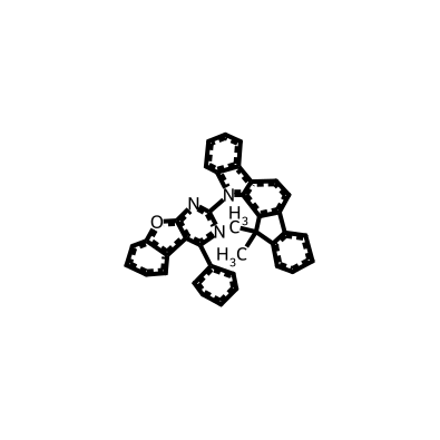 CC1(C)c2ccccc2-c2ccc3c4ccccc4n(-c4nc(-c5ccccc5)c5c(n4)oc4ccccc45)c3c21